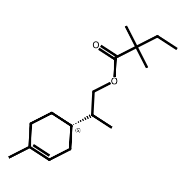 CCC(C)(C)C(=O)OCC(C)[C@@H]1CC=C(C)CC1